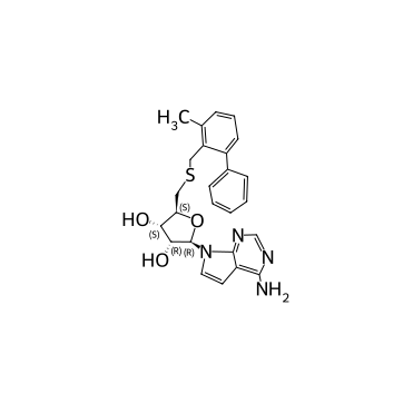 Cc1cccc(-c2ccccc2)c1CSC[C@H]1O[C@@H](n2ccc3c(N)ncnc32)[C@H](O)[C@@H]1O